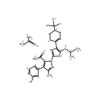 Cc1nn(-c2nc(C3=CCC(C(F)(F)F)CC3)c(SC(C)C)s2)c(C(=O)O)c1-c1cccc(F)c1.NC(N)=O